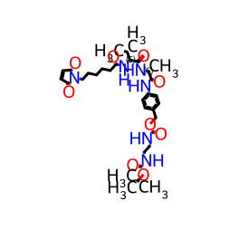 CC(C)[C@H](NC(=O)CCCCCN1C(=O)C=CC1=O)C(=O)N[C@@H](C)C(=O)Nc1ccc(COC(=O)NCCNC(=O)OC(C)(C)C)cc1